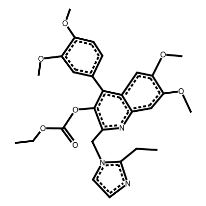 CCOC(=O)Oc1c(Cn2ccnc2CC)nc2cc(OC)c(OC)cc2c1-c1ccc(OC)c(OC)c1